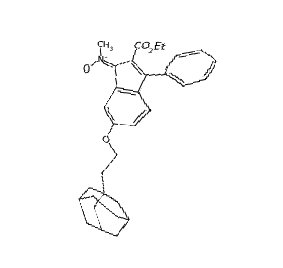 CCOC(=O)C1=C(c2ccccc2)c2ccc(OCCC34CC5CC(CC(C5)C3)C4)cc2/C1=[N+](/C)[O-]